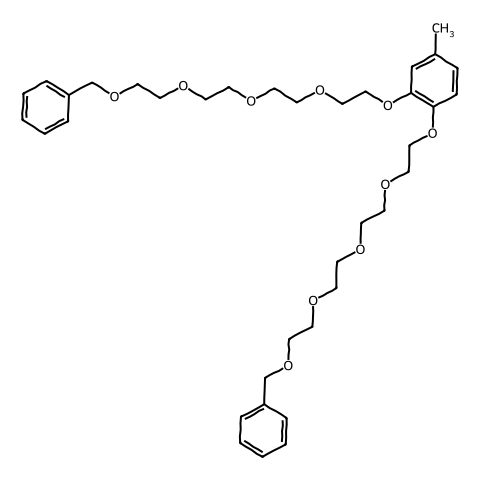 Cc1ccc(OCCOCCOCCOCCOCc2ccccc2)c(OCCOCCOCCOCCOCc2ccccc2)c1